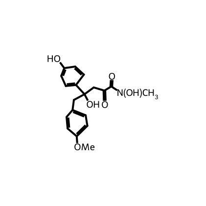 COc1ccc(CC(O)(CC(=O)C(=O)N(C)O)c2ccc(O)cc2)cc1